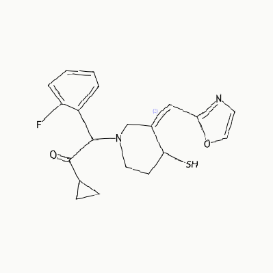 O=C(C1CC1)C(c1ccccc1F)N1CCC(S)/C(=C\c2ncco2)C1